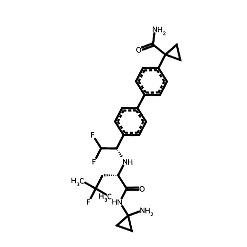 CC(C)(F)C[C@H](N[C@@H](c1ccc(-c2ccc(C3(C(N)=O)CC3)cc2)cc1)C(F)F)C(=O)NC1(N)CC1